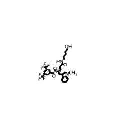 CN(C(=O)c1cc(C(F)(F)F)cc(C(F)(F)F)c1)C(C=CC(=O)NCCCCCO)Cc1cn(C)c2ccccc12